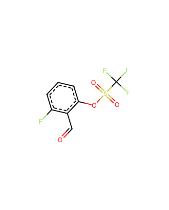 O=Cc1c(F)cccc1OS(=O)(=O)C(F)(F)F